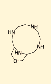 C1CNCC2COCC(CNCCN1)N2